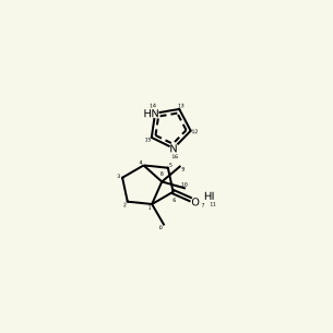 CC12CCC(CC1=O)C2(C)C.I.c1c[nH]cn1